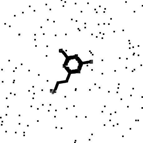 FC(F)(F)CCc1nc(Cl)nc(Cl)n1